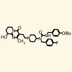 Cc1nc2n(c(=O)c1CCN1CCC(N(Cc3ccc(F)cc3)C(=O)NCc3ccc(OCC(C)C)cc3)CC1)CCCC2O